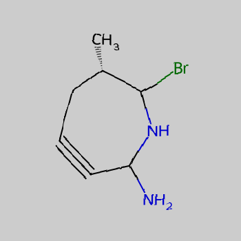 C[C@H]1CC#CC(N)NC1Br